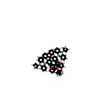 c1ccc2c(c1)-c1ccccc1C2(c1cc(N2c3ccccc3N(c3ccsc3)c3ccccc32)cc(N2c3ccccc3N(c3ccsc3)c3ccccc32)c1)c1cc(N2c3ccccc3N(c3ccsc3)c3ccccc32)cc(N2c3ccccc3N(c3ccsc3)c3ccccc32)c1